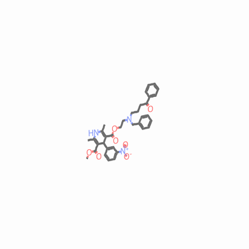 COC(=O)C1=C(C)NC(C)=C(C(=O)OCCN(CCCC(=O)c2ccccc2)Cc2ccccc2)C1c1cccc([N+](=O)[O-])c1